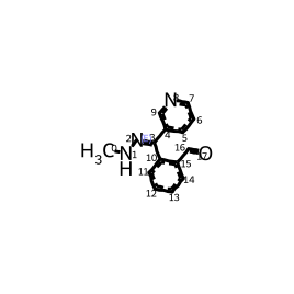 CN/N=C(/c1cccnc1)c1ccccc1C=O